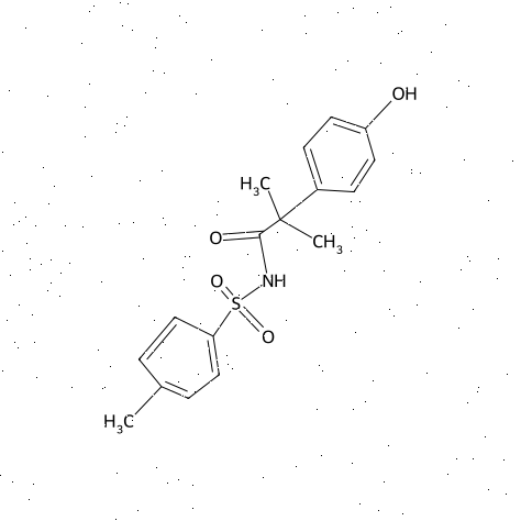 Cc1ccc(S(=O)(=O)NC(=O)C(C)(C)c2ccc(O)cc2)cc1